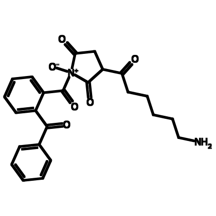 NCCCCCC(=O)C1CC(=O)[N+]([O-])(C(=O)c2ccccc2C(=O)c2ccccc2)C1=O